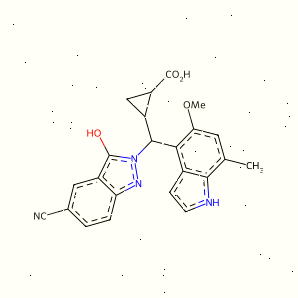 COc1cc(C)c2[nH]ccc2c1C(C1CC1C(=O)O)n1nc2ccc(C#N)cc2c1O